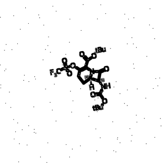 CC(C)(C)OC(=O)N[C@@H]1C(=O)N2C(C(=O)OC(C)(C)C)=C(OS(=O)(=O)C(F)(F)F)CC[C@H]12